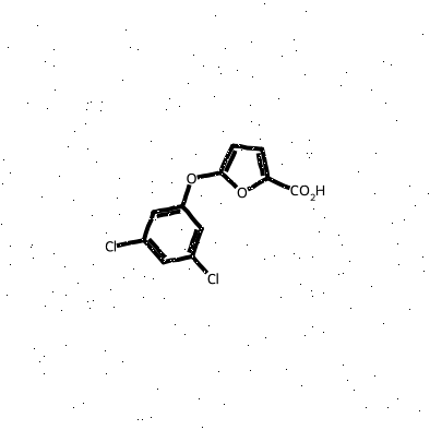 O=C(O)c1ccc(Oc2cc(Cl)cc(Cl)c2)o1